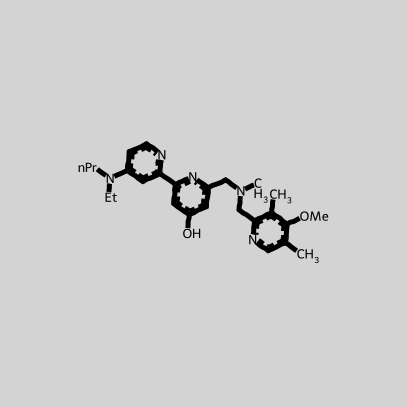 CCCN(CC)c1ccnc(-c2cc(O)cc(CN(C)Cc3ncc(C)c(OC)c3C)n2)c1